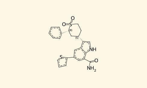 NC(=O)c1cc(-c2cccs2)cc2c([C@H]3CCS(=O)(=O)[C@@H](c4ccccc4)C3)c[nH]c12